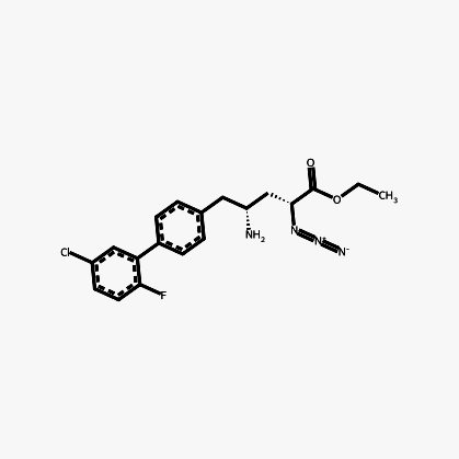 CCOC(=O)[C@@H](C[C@H](N)Cc1ccc(-c2cc(Cl)ccc2F)cc1)N=[N+]=[N-]